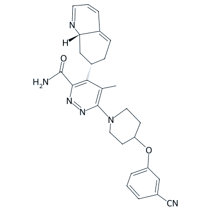 Cc1c(N2CCC(Oc3cccc(C#N)c3)CC2)nnc(C(N)=O)c1[C@H]1CC=C2C=CC=N[C@H]2C1